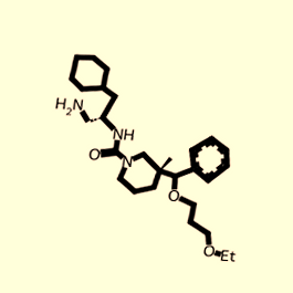 CCOCCCOC(c1ccccc1)[C@]1(C)CCCN(C(=O)N[C@H](CN)CC2CCCCC2)C1